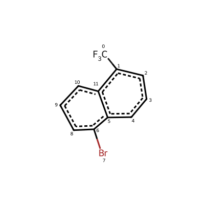 FC(F)(F)c1cccc2c(Br)cccc12